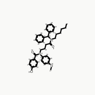 CCCCCCN(C(=O)CCCN(C(=O)c1ccc(Cl)cc1)c1ccc(OC)cc1)C(c1ccccc1)c1ccccc1